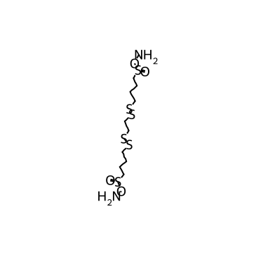 NOS(=O)CCCCSSCCSSCCCCS(=O)ON